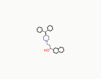 OC(CCN1CCC(=C(c2ccccc2)c2ccccc2)CC1)c1ccc2ccccc2c1